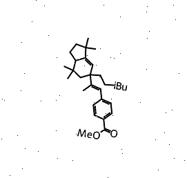 CCC(C)CCC1(C(C)=Cc2ccc(C(=O)OC)cc2)C=C2C(CCC2(C)C)C(C)(C)C1